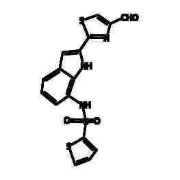 O=Cc1csc(-c2cc3cccc(NS(=O)(=O)c4cccs4)c3[nH]2)n1